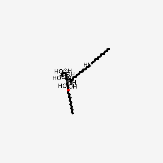 CCCCCCCCCCCCCC[C@@H](O)[C@@H](O)[C@H](CO[C@H]1O[C@H](CO)[C@H](O)[C@H](O)[C@H]1O)NC(=O)CCCCCCCCCCCNCCCCCCCCCCCCC